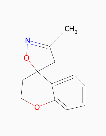 CC1=NOC2(CCOc3ccccc32)C1